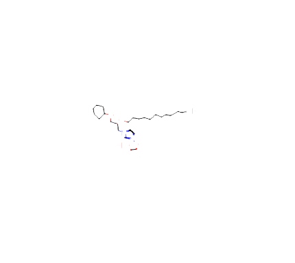 CCCCCCCCCCCCOC(COC1CCCCC1)Cn1ccnc1.O=C(O)C(=O)O